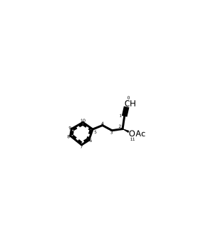 C#C[C@H](CCc1ccccc1)OC(C)=O